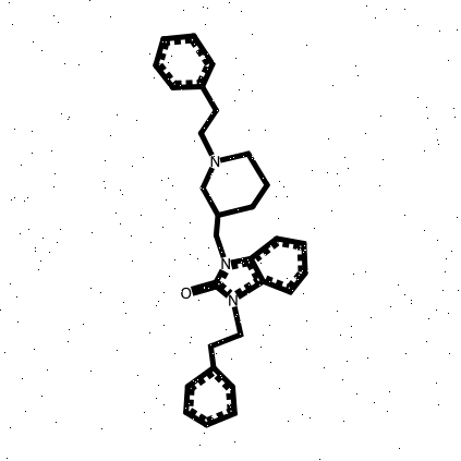 O=c1n(CCc2ccccc2)c2ccccc2n1CC1CCCN(CCc2ccccc2)C1